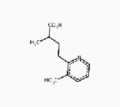 CC(CCc1ncccc1C(=O)O)C(=O)O